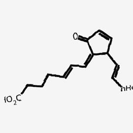 CCCCCCC=CC1C=CC(=O)C1=CC=CCCCC(=O)O